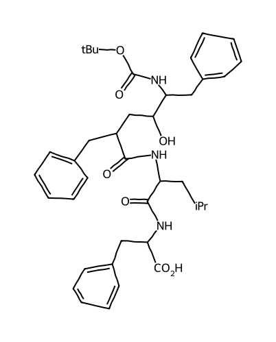 CC(C)CC(NC(=O)C(Cc1ccccc1)CC(O)C(Cc1ccccc1)NC(=O)OC(C)(C)C)C(=O)NC(Cc1ccccc1)C(=O)O